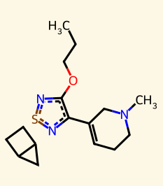 C1CC2CC12.CCCOc1nsnc1C1=CCCN(C)C1